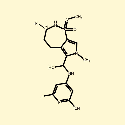 CN=S1(=O)N[C@@H](C(C)C)CCc2c1cn(C)c2C(O)Nc1cc(F)nc(C#N)c1